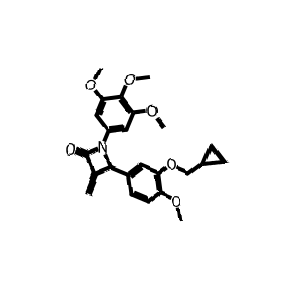 C=C1C(=O)N(c2cc(OC)c(OC)c(OC)c2)C1c1ccc(OC)c(OCC2CC2)c1